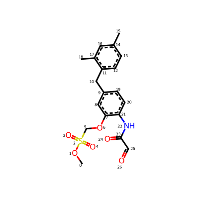 COS(=O)(=O)COc1cc(Cc2ccc(C)cc2C)ccc1NC(=O)C=O